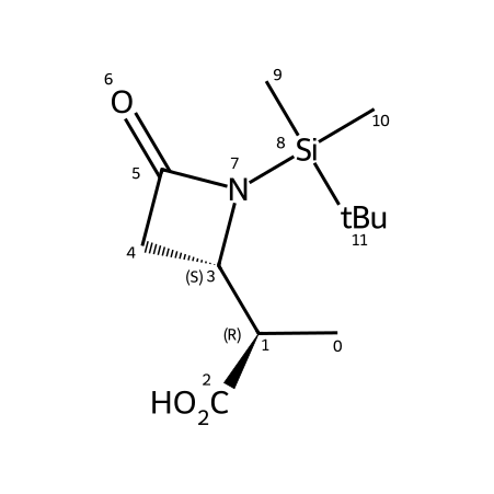 C[C@@H](C(=O)O)[C@@H]1CC(=O)N1[Si](C)(C)C(C)(C)C